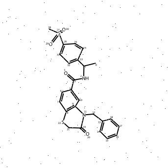 CC(NC(=O)c1ccc2c(c1)N(Cc1ccccc1)C(=O)CS2)c1ccc(S(C)(=O)=O)cc1